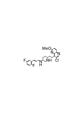 COc1ccc2ncc(Cl)c(CCC3CCC(NCC=Cc4cc(F)ccc4F)CN3)c2n1